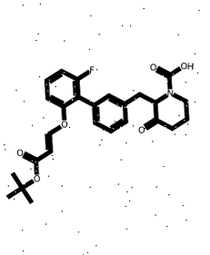 CC(C)(C)OC(=O)C=COc1cccc(F)c1-c1cccc(CC2C(=O)CCCN2C(=O)O)c1